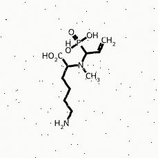 C=CC(N(C)C(CCCCN)C(=O)O)P(=O)(O)O